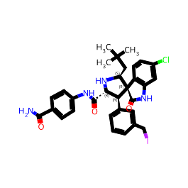 CC(C)(C)C[C@@H]1N[C@@H](C(=O)Nc2ccc(C(N)=O)cc2)[C@H](c2cccc(CI)c2)[C@]12C(=O)Nc1cc(Cl)ccc12